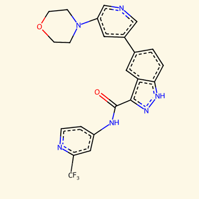 O=C(Nc1ccnc(C(F)(F)F)c1)c1n[nH]c2ccc(-c3cncc(N4CCOCC4)c3)cc12